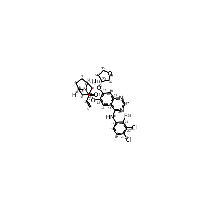 C=CC(=O)N1[C@@H]2CC[C@H]1C[C@H](Oc1cc3c(Nc4ccc(Cl)c(Cl)c4F)ncnc3cc1O[C@@H]1CCOC1)C2